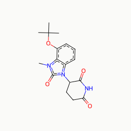 Cn1c(=O)n(C2CCC(=O)NC2=O)c2cccc(OC(C)(C)C)c21